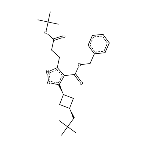 CC(C)(C)C[C@H]1C[C@@H](c2onc(CCC(=O)OC(C)(C)C)c2C(=O)OCc2ccccc2)C1